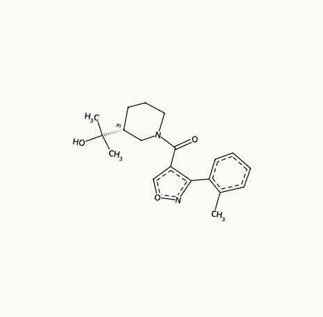 Cc1ccccc1-c1nocc1C(=O)N1CCC[C@@H](C(C)(C)O)C1